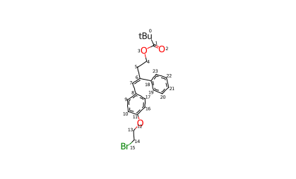 CC(C)(C)C(=O)OCCC(=Cc1ccc(OCCBr)cc1)c1ccccc1